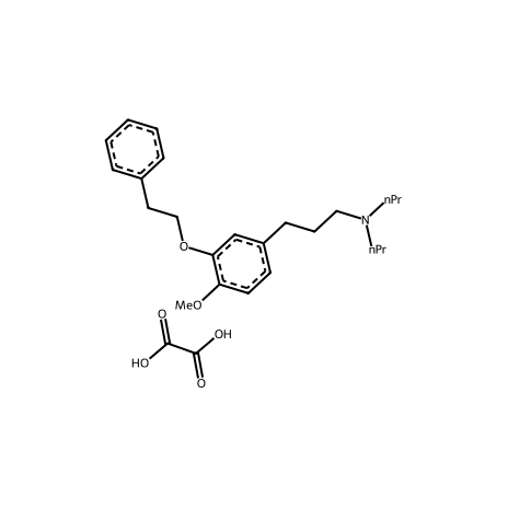 CCCN(CCC)CCCc1ccc(OC)c(OCCc2ccccc2)c1.O=C(O)C(=O)O